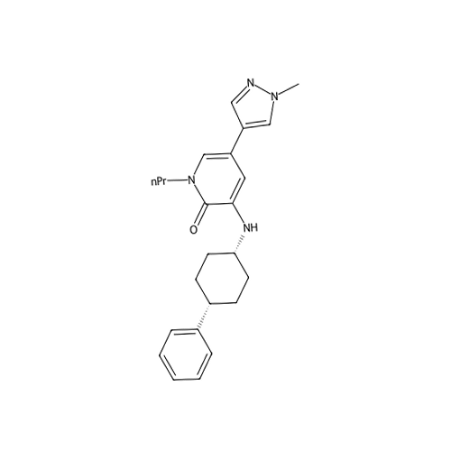 CCCn1cc(-c2cnn(C)c2)cc(N[C@H]2CC[C@@H](c3ccccc3)CC2)c1=O